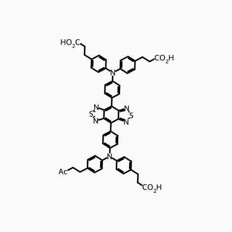 CC(=O)CCc1ccc(N(c2ccc(CCC(=O)O)cc2)c2ccc(-c3c4c(c(-c5ccc(N(c6ccc(CCC(=O)O)cc6)c6ccc(CCC(=O)O)cc6)cc5)c5nsnc35)N=S=N4)cc2)cc1